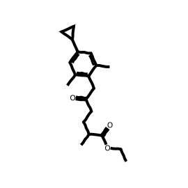 CCOC(=O)C(C)CCC(=O)Cc1c(C)cc(C2CC2)cc1C